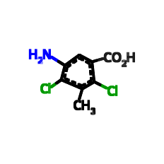 Cc1c(Cl)c(N)cc(C(=O)O)c1Cl